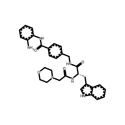 Nc1ccccc1NC(=O)c1ccc(CNC(=O)[C@H](Cc2c[nH]c3ccccc23)NC(=O)CN2CCOCC2)cc1